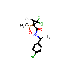 CC(NC(=O)C1([S+](C)[O-])C(C)C1(Cl)Cl)c1ccc(Br)cc1